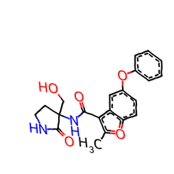 Cc1oc2ccc(Oc3ccccc3)cc2c1C(=O)NC1(CO)CCNC1=O